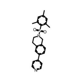 Cc1cc(C)c(S(=O)(=O)N2CCc3cc(-c4ccncc4)ccc3C2)c(C)c1